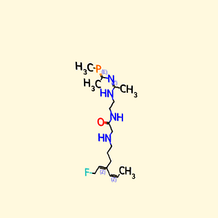 C/C=C\C(=C/CF)CCCNCC(=O)NCCN/C(C)=N\C(C)=P\C